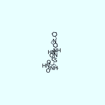 CCC/C(=C1\NC(=O)NC1=O)c1cc2oc(NNc3ccc4c(c3)CCN4Cc3ccccc3)nc2s1